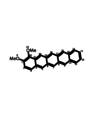 COc1ccc2cc3cc4cc5ccccc5cc4cc3cc2c1OC